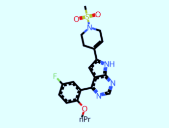 CCCOc1ccc(F)cc1-c1ncnc2[nH]c(C3=CCN(S(C)(=O)=O)CC3)cc12